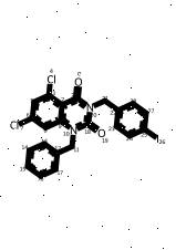 O=c1c2c(Cl)cc(Cl)cc2n(Cc2ccccc2)c(=O)n1Cc1ccc(I)cc1